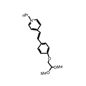 CCC[n+]1ccc(/C=C/c2ccc(OCC(OC)OC)cc2)cc1